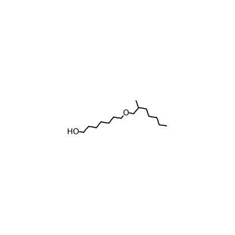 CCCCCC(C)COCCCCCCCO